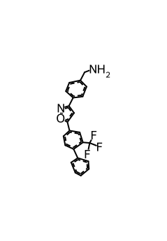 NCc1ccc(-c2cc(-c3ccc(-c4ccccc4)c(C(F)(F)F)c3)on2)cc1